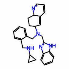 C1=CC2=CC(N(Cc3nc4ccccc4[nH]3)Cc3ccccc3CNC3CC3)CCC2N=C1